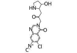 [C-]#[N+]c1cc2ncn(CC(=O)CC3NCCC3O)c(=O)c2cc1Cl